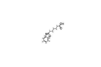 O=C(O)CCCCCc1nc2ccccc2o1